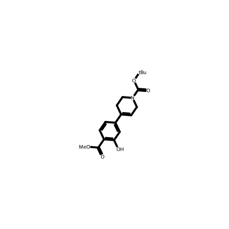 COC(=O)c1ccc(C2=CCN(C(=O)OC(C)(C)C)CC2)cc1O